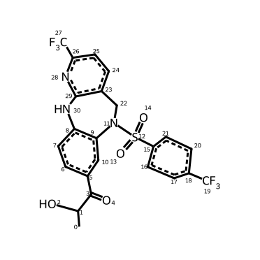 CC(O)C(=O)c1ccc2c(c1)N(S(=O)(=O)c1ccc(C(F)(F)F)cc1)Cc1ccc(C(F)(F)F)nc1N2